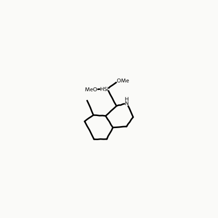 CO[SiH](OC)C1NCCC2CCCC(C)C21